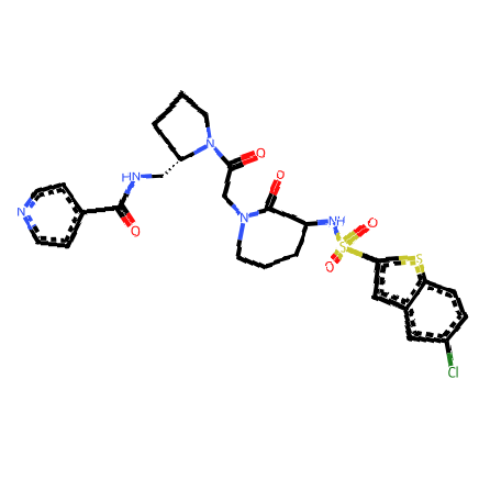 O=C(NC[C@@H]1CCCN1C(=O)CN1CCCC(NS(=O)(=O)c2cc3cc(Cl)ccc3s2)C1=O)c1ccncc1